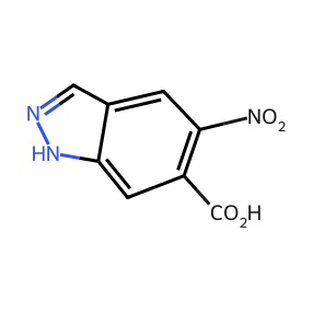 O=C(O)c1cc2[nH]ncc2cc1[N+](=O)[O-]